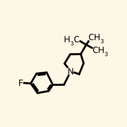 CC(C)(C)C1CCN(Cc2ccc(F)cc2)CC1